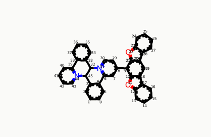 c1ccc2c(c1)-c1cc(-c3c4oc5ccccc5c4cc4c3oc3ccccc34)cc[n+]1C1c3ccccc3-c3cccc[n+]3C21